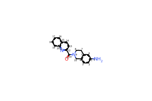 Nc1ccc2c(c1)CCN(C(=O)c1ccc3ccccc3n1)C2